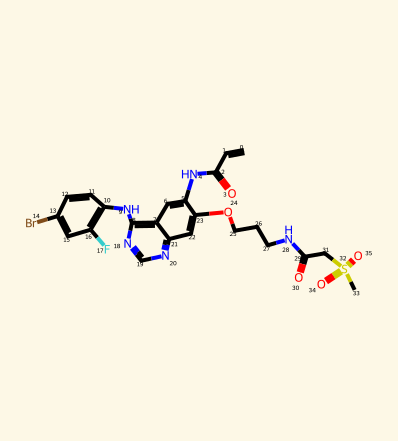 C=CC(=O)Nc1cc2c(Nc3ccc(Br)cc3F)ncnc2cc1OCCCNC(=O)CS(C)(=O)=O